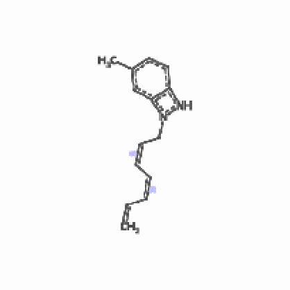 C=C/C=C\C=C/Cn1[nH]c2ccc(C)cc21